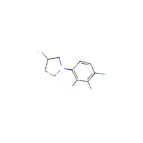 COc1c(N2CCC(C(C)C)C2)ccc(F)c1F